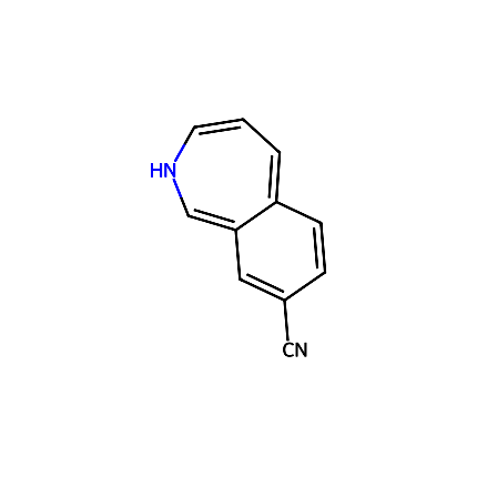 N#Cc1ccc2c(c1)=CNC=CC=2